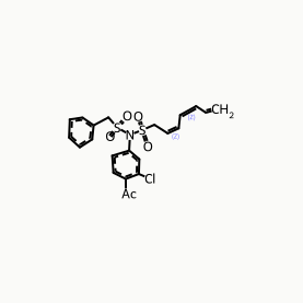 C=C/C=C\C=C/CS(=O)(=O)N(c1ccc(C(C)=O)c(Cl)c1)S(=O)(=O)Cc1ccccc1